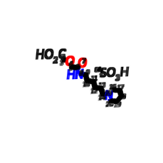 CS(=O)(=O)O.O=C(O)COCC(=O)NCCCCCCN1CCCCC1